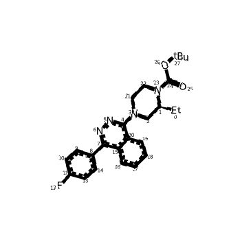 CC[C@H]1CN(c2nnc(-c3ccc(F)cc3)c3ccccc23)CCN1C(=O)OC(C)(C)C